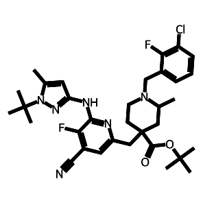 Cc1cc(Nc2nc(CC3(C(=O)OC(C)(C)C)CCN(Cc4cccc(Cl)c4F)C(C)C3)cc(C#N)c2F)nn1C(C)(C)C